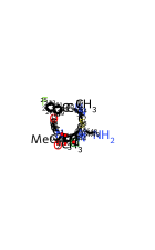 COC(=O)c1c(C)c2c3c(Cl)ccc2n1CCCOc1cc(cc2cc(F)ccc12)CCc1cc(nn1C)CSCc1c-3c(C)nn1CCCN